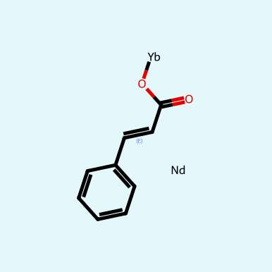 O=C(/C=C/c1ccccc1)[O][Yb].[Nd]